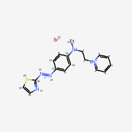 CCN(CC[n+]1ccccc1)c1ccc(/N=N/c2nccs2)cc1.[Br-]